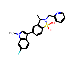 C[C@@H]1c2cc(-c3cn(C(=O)O)c4cc(F)ccc34)ccc2S(O)(O)N1Cc1ccccn1